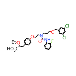 CCOC(Cc1ccc(OCCN(CCCOCc2cc(Cl)cc(Cl)c2)C(=O)Nc2ccccc2F)cc1)C(=O)O